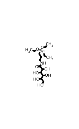 CCO[Si](CCCNC(=O)C(O)C(O)C(O)C(O)CO)(OCC)OCC